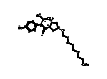 COCCOCCOCCO[C@H]1CCN(C(=O)[C@H](c2ccc(O)cc2)N(C(=O)O)C(C)(C)C)C1